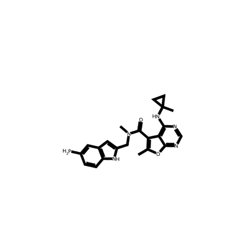 Cc1oc2ncnc(NC3(C)CC3)c2c1C(=O)N(C)Cc1cc2cc(P)ccc2[nH]1